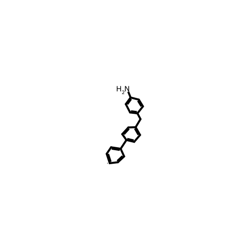 Nc1ccc(Cc2ccc(-c3cc[c]cc3)cc2)cc1